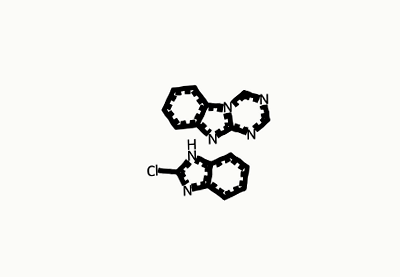 Clc1nc2ccccc2[nH]1.c1ccc2c(c1)nc1ncncn12